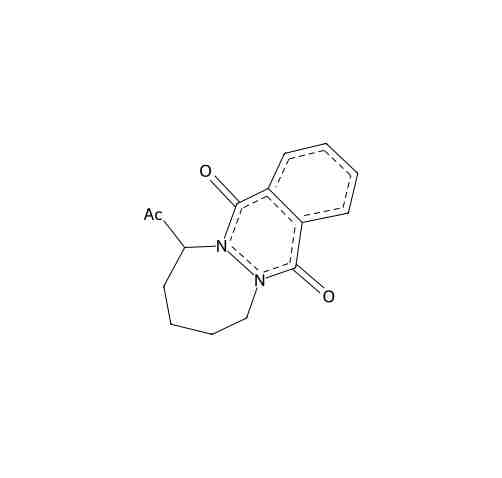 CC(=O)C1CCCCn2c(=O)c3ccccc3c(=O)n21